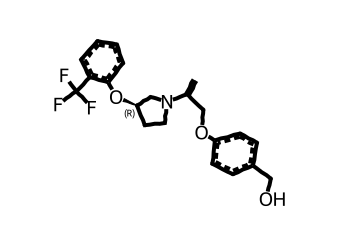 C=C(COc1ccc(CO)cc1)N1CC[C@@H](Oc2ccccc2C(F)(F)F)C1